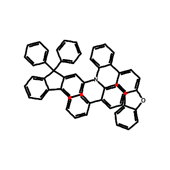 c1ccc(-c2ccccc2N(c2ccc3c(c2)C(c2ccccc2)(c2ccccc2)c2ccccc2-3)c2ccccc2-c2ccc3oc4ccccc4c3c2)cc1